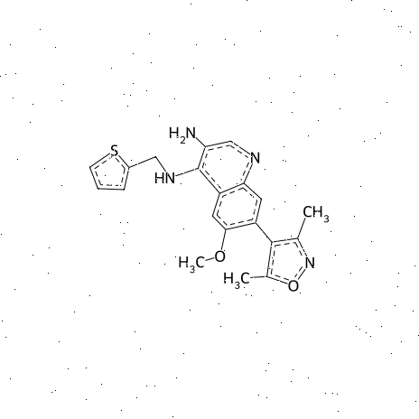 COc1cc2c(NCc3cccs3)c(N)cnc2cc1-c1c(C)noc1C